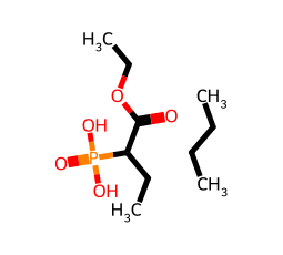 CCCC.CCOC(=O)C(CC)P(=O)(O)O